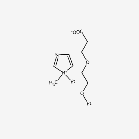 CCOCCOCCC(=O)[O-].CC[N+]1(C)C=CN=C1